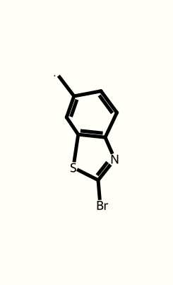 [CH2]c1ccc2nc(Br)sc2c1